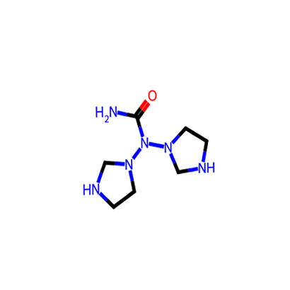 NC(=O)N(N1CCNC1)N1CCNC1